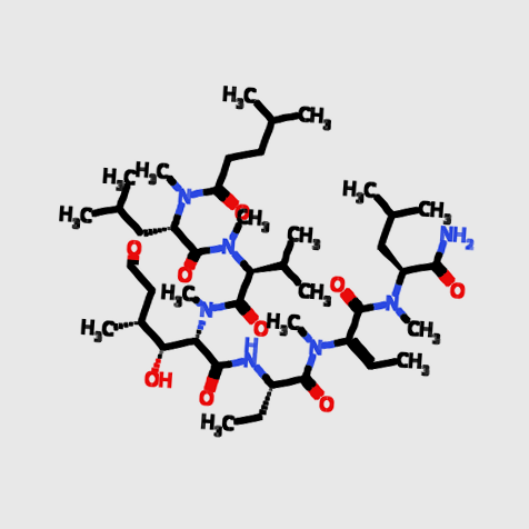 C/C=C(\C(=O)N(C)[C@@H](CC(C)C)C(N)=O)N(C)C(=O)[C@H](CC)NC(=O)[C@H]([C@H](O)[C@H](C)CC=O)N(C)C(=O)[C@H](C(C)C)N(C)C(=O)[C@H](CC(C)C)N(C)C(=O)CCC(C)C